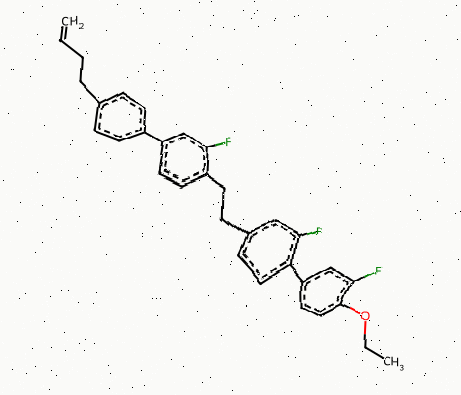 C=CCCc1ccc(-c2ccc(CCc3ccc(-c4ccc(OCC)c(F)c4)c(F)c3)c(F)c2)cc1